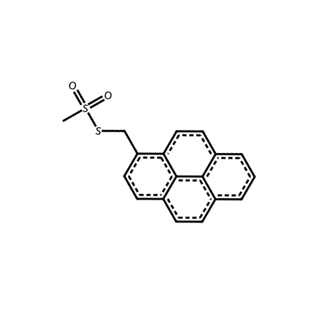 CS(=O)(=O)SCc1ccc2ccc3cccc4ccc1c2c34